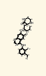 COc1cc2ncnc(Nc3cccc(CI)c3F)c2cc1O[C@H]1CC[C@@]2(CC1)NCCNC2=O